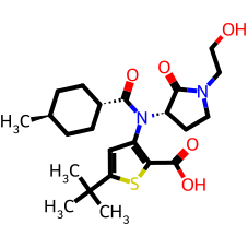 CC(C)(C)c1cc(N(C(=O)[C@H]2CC[C@H](C)CC2)[C@H]2CCN(CCO)C2=O)c(C(=O)O)s1